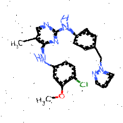 COc1cc(Nc2nc(Nc3ccc(Cn4cccn4)cc3)ncc2C)ccc1Cl